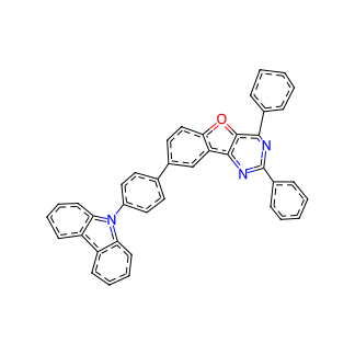 c1ccc(-c2nc(-c3ccccc3)c3oc4ccc(-c5ccc(-n6c7ccccc7c7ccccc76)cc5)cc4c3n2)cc1